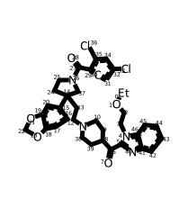 CCOCCn1c(C(=O)C2CCN(CCC3(c4ccc5c(c4)OCO5)CCN(C(=O)c4ccc(Cl)cc4Cl)C3)CC2)nc2ccccc21